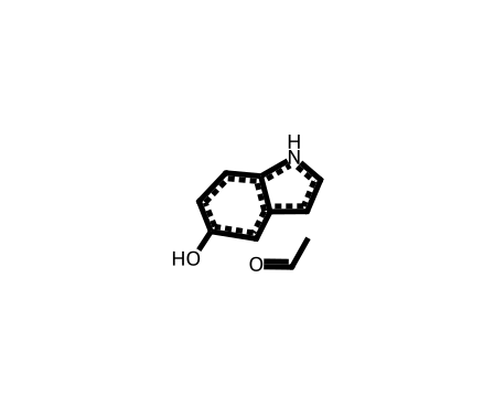 CC=O.Oc1ccc2[nH]ccc2c1